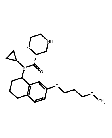 COCCCOc1ccc2c(c1)[C@H](N(C(=O)[C@H]1CNCCO1)C1CC1)CCC2